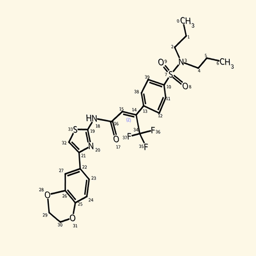 CCCN(CCC)S(=O)(=O)c1ccc(/C(=C/C(=O)Nc2nc(-c3ccc4c(c3)OCCO4)cs2)C(F)(F)F)cc1